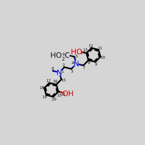 CN(CCN(CC(=O)O)Cc1ccccc1O)Cc1ccccc1O